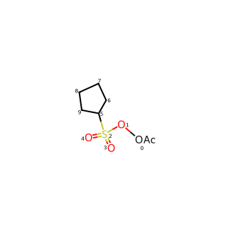 CC(=O)OOS(=O)(=O)C1CCCC1